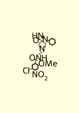 COc1cc([N+](=O)[O-])c(Cl)cc1C(=O)NCCN1CCC2(CC1)C(=O)NCN2c1ccccc1